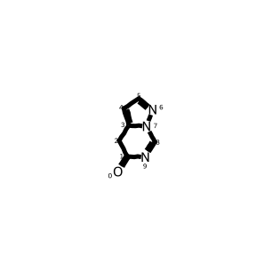 O=C1Cc2ccnn2C=N1